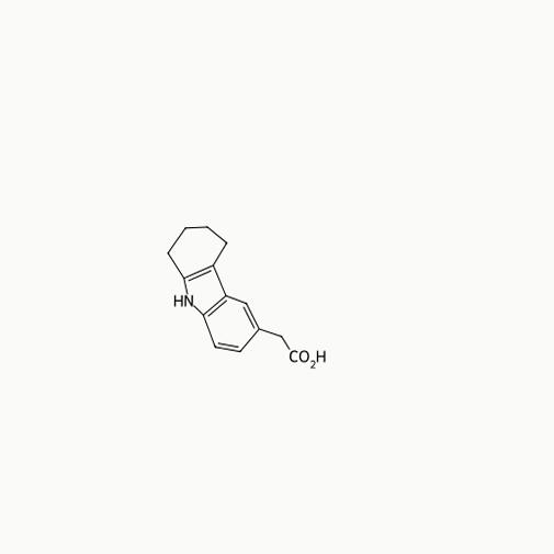 O=C(O)Cc1ccc2[nH]c3c(c2c1)CCCC3